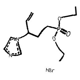 Br.C=CC(CCP(=O)(OCC)OCC)n1ccnc1